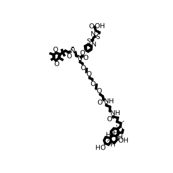 CC1=C(C)C(=O)C(C(C)(C)CC(=O)N(C)CCN(CCOCCOCCOCCOCCC(=O)NCCCNC(=O)CC[C@H](C)[C@@H]2CC[C@@H]3[C@@H]4[C@@H](CC[C@]32C)[C@]2(C)CC[C@H](O)C[C@@H]2C[C@@H]4O)C(=O)Oc2ccc3nc(C4=NC(C(=O)O)CS4)sc3c2)=C(C)C1=O